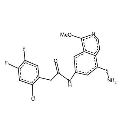 COc1nccc2c(SN)cc(NC(=O)Cc3cc(F)c(F)cc3Cl)cc12